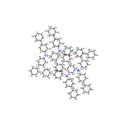 c1ccc(-c2ccc(N(c3ccc(-c4ccccc4)cc3)c3cc(-c4ccccc4-c4ccccc4-c4cc(N(c5ccc(-c6ccccc6)cc5)c5ccc(-c6ccccc6)cc5)cc(N(c5ccc(-c6ccccc6)cc5)c5ccc(-c6ccccc6)cc5)c4)cc(N(c4ccc(-c5ccccc5)cc4)c4ccc(-c5ccccc5)cc4)c3)cc2)cc1